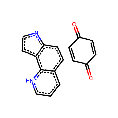 O=C1C=CC(=O)C=C1.c1c[nH]c2c(c1)ccc1nccc12